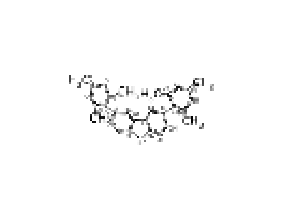 Cc1cc(C)c(-c2ccc3c(c2)-c2cc(-c4c(C)cc(C)cc4C)ccc2[CH]3)c(C)c1